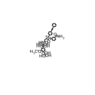 CCOc1cc(C(O)(O)C(O)(O)NC(=O)CC2SC(c3ccc(C#Cc4ccccc4)cc3)N(c3cccc(C(N)=O)c3)C2=O)ccc1OC(O)(O)O